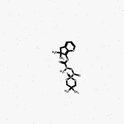 CCN(SN(C)C(=O)OC1=C2OC=CC=C2CC1(C)C)P1(=S)OCC(C)(C)CO1